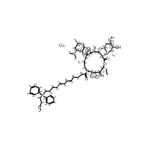 CC[C@H]1OC(=O)[C@H](C)[C@@H](O[C@H]2C[C@@](C)(OC)[C@@H](O)[C@H](C)O2)[C@H](C)[C@@H](O[C@@H]2O[C@H](C)C[C@H](N(C)C)[C@H]2O)[C@](C)(O)C[C@@H](C)CN(C(=O)CCCCCCCCCCC[P+](CCOC)(c2ccccc2)c2ccccc2)[C@H](C)[C@@H](O)[C@]1(C)O.[Cl-]